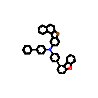 c1ccc(-c2ccc(N(c3ccc(-c4cccc5oc6ccccc6c45)cc3)c3ccc4sc5ccc6ccccc6c5c4c3)cc2)cc1